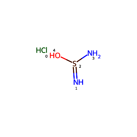 Cl.N=S(N)O